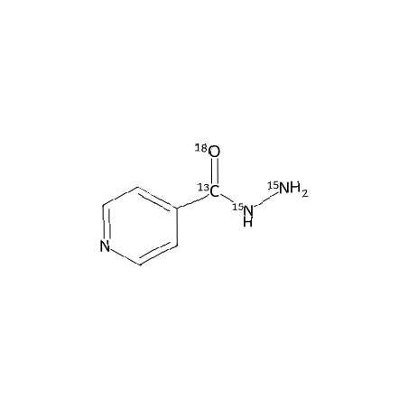 [15NH2][15NH][13C](=[18O])c1ccncc1